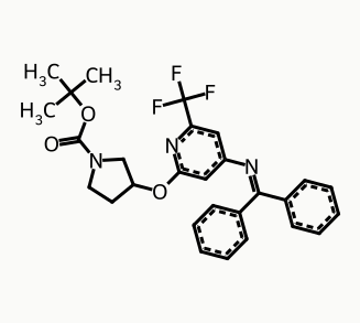 CC(C)(C)OC(=O)N1CCC(Oc2cc(N=C(c3ccccc3)c3ccccc3)cc(C(F)(F)F)n2)C1